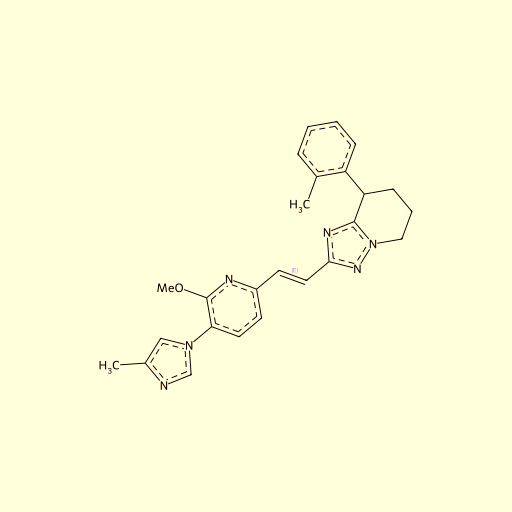 COc1nc(/C=C/c2nc3n(n2)CCCC3c2ccccc2C)ccc1-n1cnc(C)c1